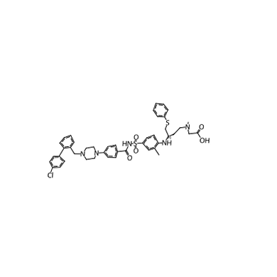 Cc1cc(S(=O)(=O)NC(=O)c2ccc(N3CCN(Cc4ccccc4-c4ccc(Cl)cc4)CC3)cc2)ccc1N[C@H](CCN(C)CC(=O)O)CSc1ccccc1